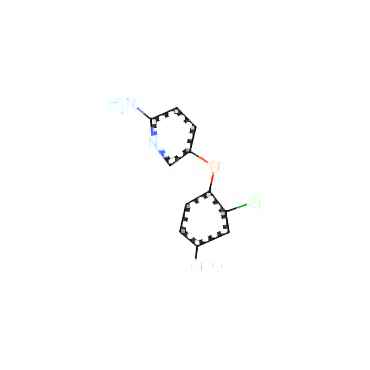 Nc1ccc(Oc2ccc(C=O)cc2Cl)cn1